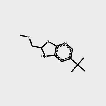 COCC1Nc2cc(C(C)(C)C)cnc2S1